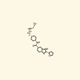 O=C(Nc1ccc([C@@H]2C[C@H]2NCC2CC2)cc1)c1ccc2nc(-c3ccco3)[nH]c2c1